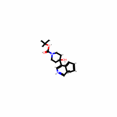 CC(C)(C)OC(=O)N1CCC(O)(c2cncc3ccccc23)CC1